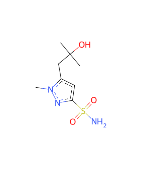 Cn1nc(S(N)(=O)=O)cc1CC(C)(C)O